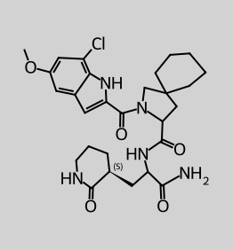 COc1cc(Cl)c2[nH]c(C(=O)N3CC4(CCCCC4)CC3C(=O)NC(C[C@@H]3CCCNC3=O)C(N)=O)cc2c1